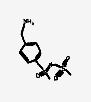 CS(=O)(=O)N=S(C)(=O)c1ccc(CN)cc1